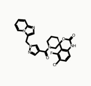 O=C1Nc2ccc(Cl)c(F)c2[C@@]2(CCCN(C(=O)c3cnn(Cc4cnc5ccccn45)c3)C2)O1